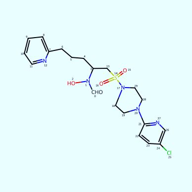 O=CN(O)C(CCCc1ccccn1)CS(=O)(=O)N1CCN(c2ccc(Cl)cn2)CC1